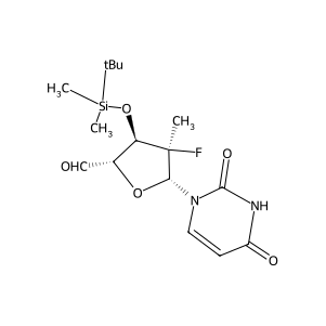 CC(C)(C)[Si](C)(C)O[C@@H]1[C@@H](C=O)O[C@@H](n2ccc(=O)[nH]c2=O)[C@]1(C)F